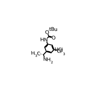 C[C@@H](N)c1cc(NC(=O)OC(C)(C)C)cc(C(F)(F)F)c1.Cl